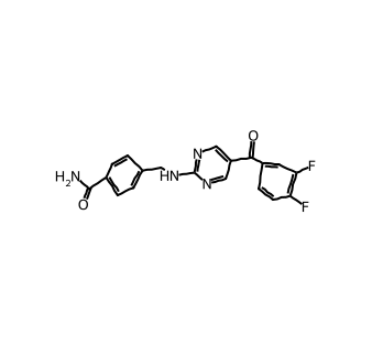 NC(=O)c1ccc(CNc2ncc(C(=O)c3ccc(F)c(F)c3)cn2)cc1